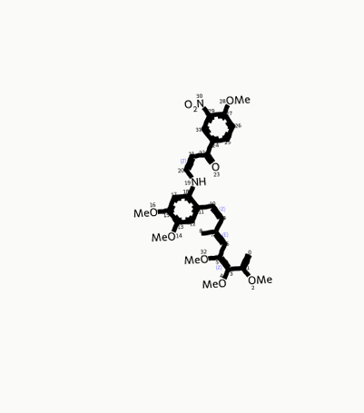 C=C(OC)\C(OC)=C(/C=C(C)/C=C\c1cc(OC)c(OC)cc1N/C=C\C(=O)c1ccc(OC)c([N+](=O)[O-])c1)OC